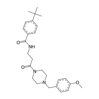 COc1ccc(CN2CCN(C(=O)CCNC(=O)c3ccc(C(C)(C)C)cc3)CC2)cc1